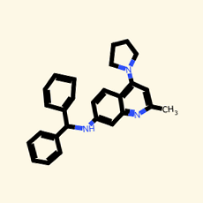 Cc1cc(N2CCCC2)c2ccc(NC(c3ccccc3)c3ccccc3)cc2n1